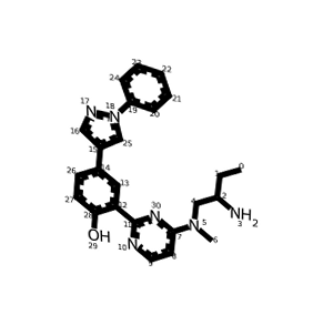 CCC(N)CN(C)c1ccnc(-c2cc(-c3cnn(-c4ccccc4)c3)ccc2O)n1